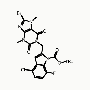 Cn1c(Br)nc2c1c(=O)n(Cc1cc3c(Cl)ccc(F)c3n1C(=O)OC(C)(C)C)c(=O)n2C